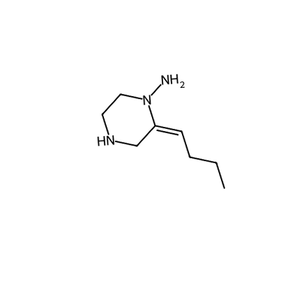 CCCC=C1CNCCN1N